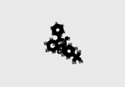 CN(C)C(c1ccccc1)C1CCCCC1(O)Cc1ccc(C(C)(C)C)cc1